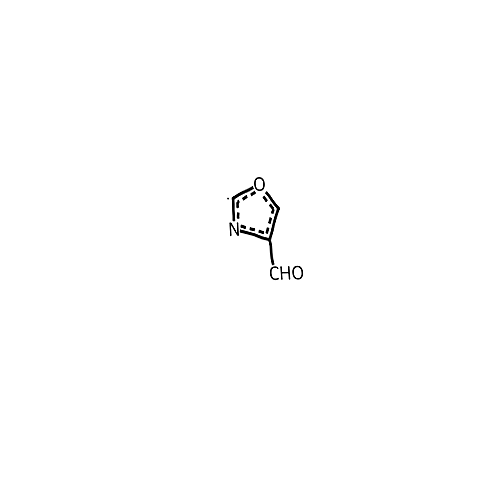 O=Cc1co[c]n1